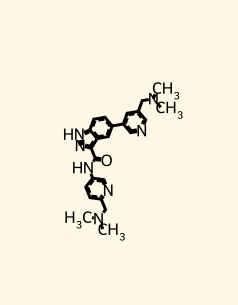 CN(C)Cc1cncc(-c2ccc3[nH]nc(C(=O)Nc4ccc(CN(C)C)nc4)c3c2)c1